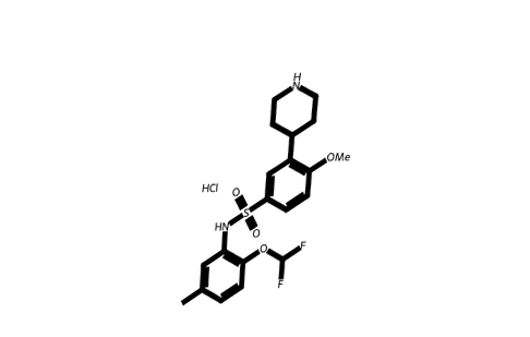 COc1ccc(S(=O)(=O)Nc2cc(C)ccc2OC(F)F)cc1C1CCNCC1.Cl